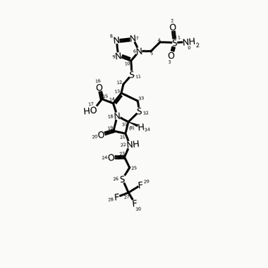 NS(=O)(=O)CCn1nnnc1SCC1=C(C(=O)O)N2C(=O)C(NC(=O)CSC(F)(F)F)[C@H]2SC1